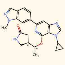 C[C@@H](Oc1nc(-c2ccc3cnn(C)c3c2)cc2ncn(C3CC3)c12)[C@H]1CNC(=O)C1